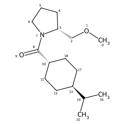 COC[C@H]1CCCN1C(=O)[C@H]1CC[C@H](C(C)C)CC1